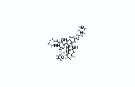 O=C(N[C@@H](CC1CCCCC1)[C@@H](O)C[C@@H](Cc1ccc(OCCN2CCOCC2)cc1)C(=O)N[C@H]1c2ccccc2C[C@H]1O)OCc1ccco1